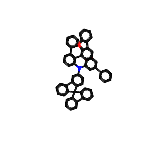 c1ccc(-c2cccc(N(c3ccc4c(c3)-c3ccccc3C43c4ccccc4-c4ccccc43)c3cccc(-c4ccccc4)c3-c3cccc4c3oc3ccccc34)c2)cc1